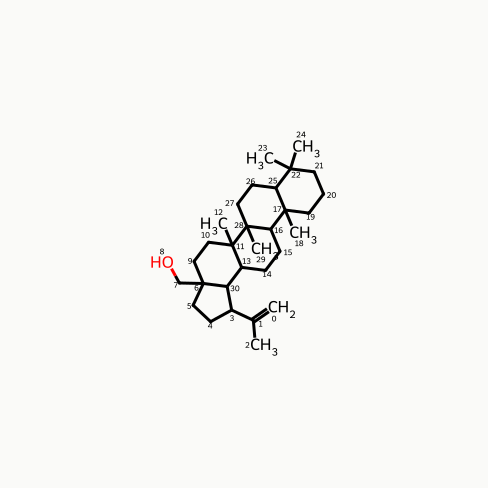 C=C(C)C1CCC2(CO)CCC3(C)C(CCC4C5(C)CCCC(C)(C)C5CCC43C)C12